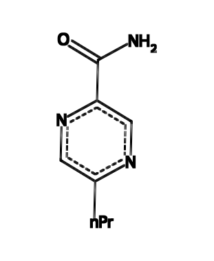 CCCc1cnc(C(N)=O)cn1